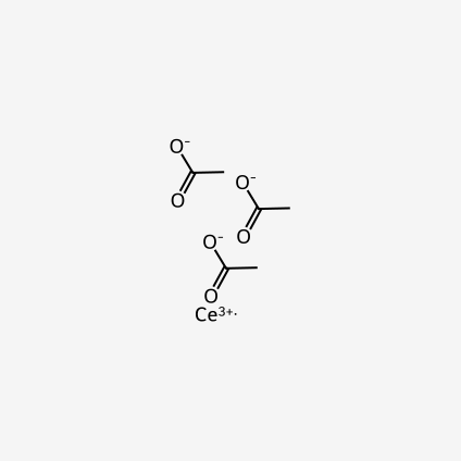 CC(=O)[O-].CC(=O)[O-].CC(=O)[O-].[Ce+3]